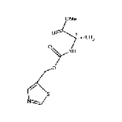 COC(=O)[C@H](C)NC(=O)OCc1cncs1